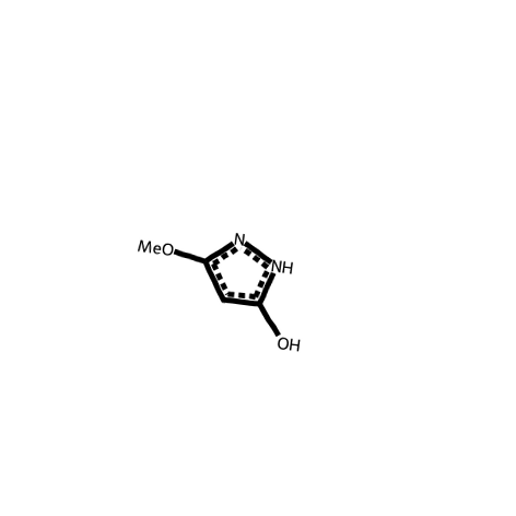 COc1cc(O)[nH]n1